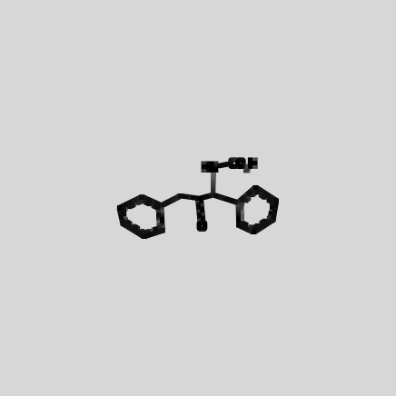 O=C(O)NC(C(=O)Cc1ccccc1)c1ccccc1